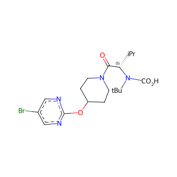 CC(C)[C@@H](C(=O)N1CCC(Oc2ncc(Br)cn2)CC1)N(C(=O)O)C(C)(C)C